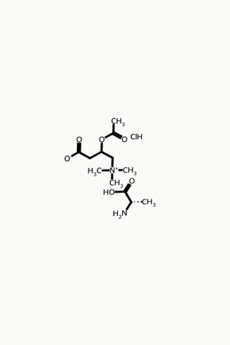 CC(=O)OC(CC(=O)[O-])C[N+](C)(C)C.C[C@H](N)C(=O)O.Cl